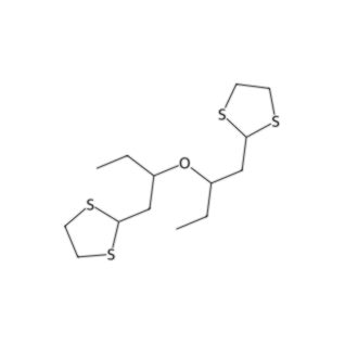 CCC(CC1SCCS1)OC(CC)CC1SCCS1